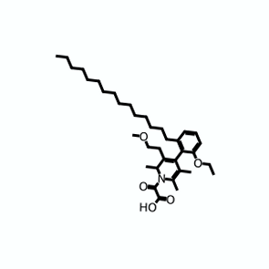 CCCCCCCCCCCCCCCc1cccc(OCC)c1C1=C(CCOC)C(C)N(C(=O)C(=O)O)C(C)=C1C